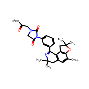 COC(=O)CN1CC(=O)N(c2cccc(C3=NC(C)(C)Cc4cc(OC)c5c(c43)CC(C)(C)O5)c2)C1=O